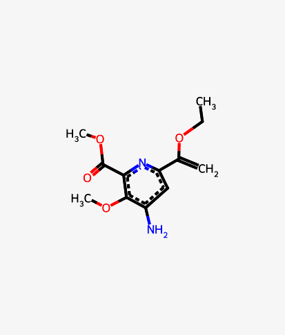 C=C(OCC)c1cc(N)c(OC)c(C(=O)OC)n1